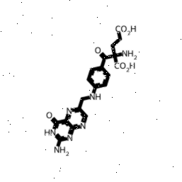 Nc1nc2ncc(CNc3ccc(C(=O)C(N)(CCC(=O)O)C(=O)O)cc3)nc2c(=O)[nH]1